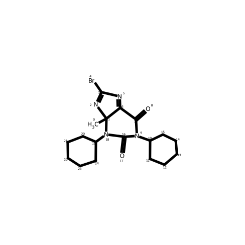 CC12N=C(Br)N=C1C(=O)N(C1CCCCC1)C(=O)N2C1CCCCC1